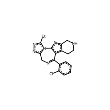 CCc1nnc2n1-c1sc3c(c1C(c1ccccc1Cl)=NC2)CCNC3